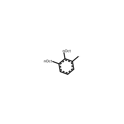 [CH2]c1cccc(CCCCCCCC)c1CCCCCCCC